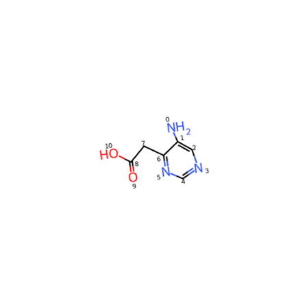 Nc1cncnc1CC(=O)O